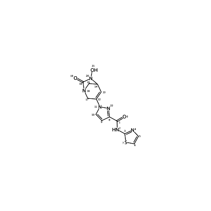 O=C(Nc1nccs1)c1ccn(C2=CC3CN(C2)C(=O)N3O)n1